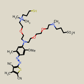 COc1cc(/N=N/c2sc(C#N)c(C)c2C#N)c(C)cc1N(CCOCCOCCN(C)CCCS(=O)(=O)O)CCOCC[N+](C)(C)CCCS